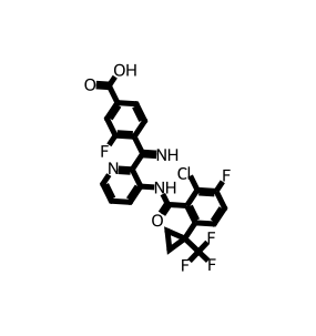 N=C(c1ccc(C(=O)O)cc1F)c1ncccc1NC(=O)c1c(C2(C(F)(F)F)CC2)ccc(F)c1Cl